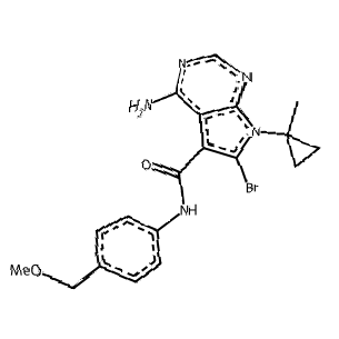 COCc1ccc(NC(=O)c2c(Br)n(C3(C)CC3)c3ncnc(N)c23)cc1